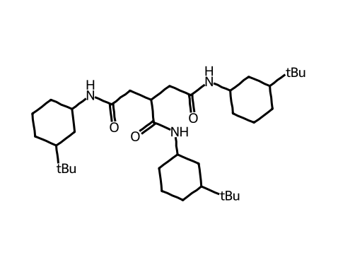 CC(C)(C)C1CCCC(NC(=O)CC(CC(=O)NC2CCCC(C(C)(C)C)C2)C(=O)NC2CCCC(C(C)(C)C)C2)C1